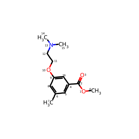 COC(=O)c1cc(C)cc(OCCN(C)C)c1